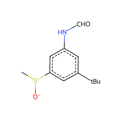 C[S+]([O-])c1cc(NC=O)cc(C(C)(C)C)c1